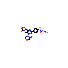 CCC(C)NC(=O)Nc1ccc(-c2nc3c(c(N4CCOC[C@@H]4C)n2)CN(C(=O)OC)C3)cc1